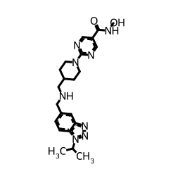 CC(C)n1nnc2cc(CNCC3CCN(c4ncc(C(=O)NO)cn4)CC3)ccc21